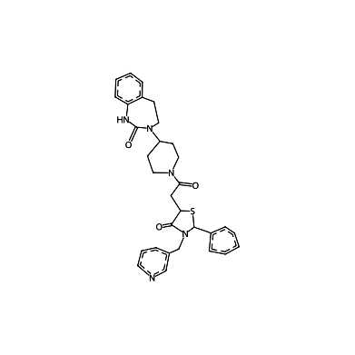 O=C(CC1SC(c2ccccc2)N(Cc2cccnc2)C1=O)N1CCC(N2CCc3ccccc3NC2=O)CC1